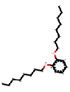 CCCCCCCCOc1[c]cc[c]c1OCCCCCCCC